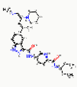 C=N/C=C(\C=C(/C)c1ccc2[nH]nc(C(=O)Nc3ccc(C(=O)NC(CC)CC)nc3)c2c1)N1CCCCC1